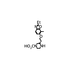 CCc1nc2ccc(OCC[C@@H]3CN(C(=O)O)CCN3)c(C)c2o1